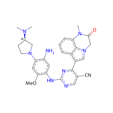 COc1cc(N2CC[C@@H](N(C)C)C2)c(N)cc1Nc1ncc(C#N)c(-c2cn3c4c(cccc24)N(C)C(=O)C3)n1